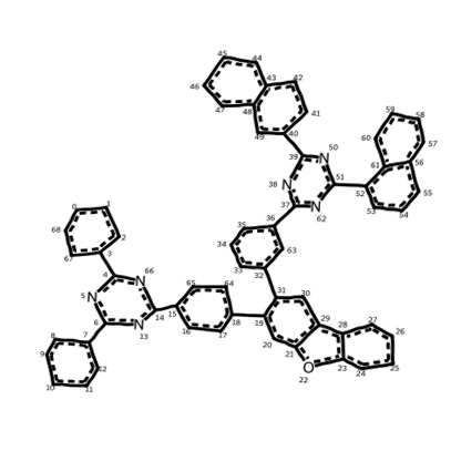 c1ccc(-c2nc(-c3ccccc3)nc(-c3ccc(-c4cc5oc6ccccc6c5cc4-c4cccc(-c5nc(-c6ccc7ccccc7c6)nc(-c6cccc7ccccc67)n5)c4)cc3)n2)cc1